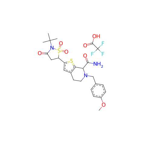 COc1ccc(CN2CCc3cc(C4CC(=O)N(C(C)(C)C)S4(=O)=O)sc3C2C(N)=O)cc1.O=C(O)C(F)(F)F